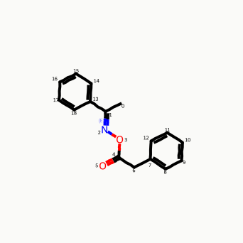 C/C(=N\OC(=O)Cc1ccccc1)c1ccccc1